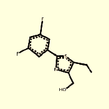 CCc1sc(-c2cc(F)cc(F)c2)nc1CO